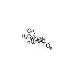 CO[C@@H](C(=O)NC1CSc2ccccc2N(C)C1=O)[C@H](O)[C@@H](O)[C@H](O)/C=C/c1ccc(F)cc1